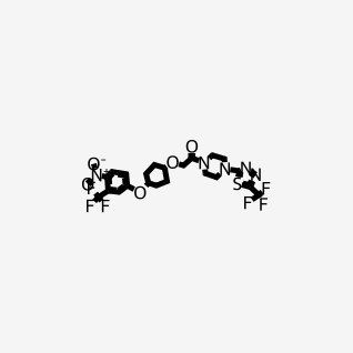 O=C(COC1CCC(Oc2ccc([N+](=O)[O-])c(C(F)(F)F)c2)CC1)N1CCN(c2nnc(C(F)(F)F)s2)CC1